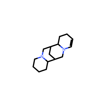 C1=CN2CC3CC(CN4CCCCC34)C2CC1